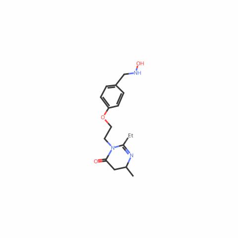 CCC1=NC(C)CC(=O)N1CCOc1ccc(CNO)cc1